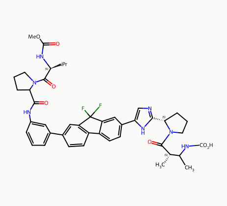 COC(=O)N[C@H](C(=O)N1CCCC1C(=O)Nc1cccc(-c2ccc3c(c2)C(F)(F)c2cc(-c4cnc([C@@H]5CCCN5C(=O)[C@@H](C)C(C)NC(=O)O)[nH]4)ccc2-3)c1)C(C)C